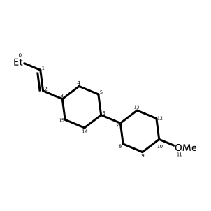 CCC=CC1CCC(C2CCC(OC)CC2)CC1